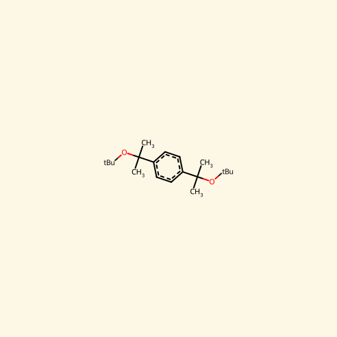 CC(C)(C)OC(C)(C)c1ccc(C(C)(C)OC(C)(C)C)cc1